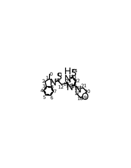 CC1Cc2ccccc2N1C(=S)Cc1nc(N2CCOCC2)cc(=S)[nH]1